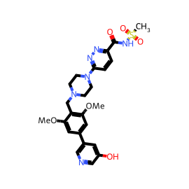 COc1cc(-c2cncc(O)c2)cc(OC)c1CN1CCN(c2ccc(C(=O)NS(C)(=O)=O)nn2)CC1